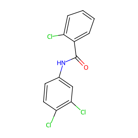 O=C(Nc1ccc(Cl)c(Cl)c1)c1ccccc1Cl